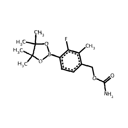 Cc1c(COC(N)=O)ccc(B2OC(C)(C)C(C)(C)O2)c1F